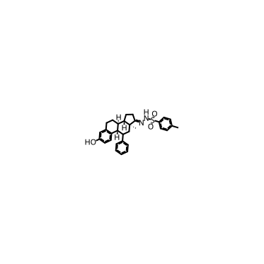 Cc1ccc(S(=O)(=O)NN=C2CC[C@H]3[C@@H]4CCc5cc(O)ccc5[C@H]4C(c4ccccc4)C[C@]23C)cc1